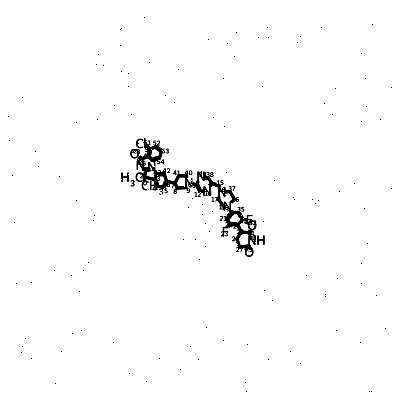 CC1(C)c2ccc(C3CCN(c4cnc(CN5CCN(c6cc(F)c(C7CCC(=O)NC7=O)c(F)c6)CC5)cn4)CC3)cc2-n2c1nc(=O)c1c(Cl)cccc12